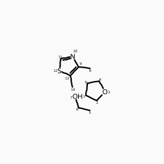 C1CCOC1.CCO.Cc1ncsc1C